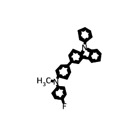 CN(c1ccc(F)cc1)c1ccc(-c2ccc3c(c2)c2ccccc2n3-c2ccccc2)cc1